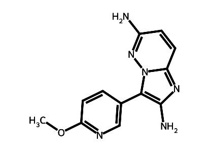 COc1ccc(-c2c(N)nc3ccc(N)nn23)cn1